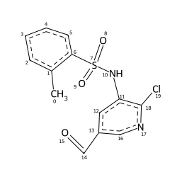 Cc1ccccc1S(=O)(=O)Nc1cc(C=O)cnc1Cl